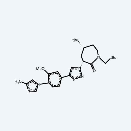 COc1cc(-c2cn([C@@H]3C[C@H](C(C)(C)C)CCN(CC(C)(C)C)C3=O)nn2)ccc1-n1cnc(C)c1